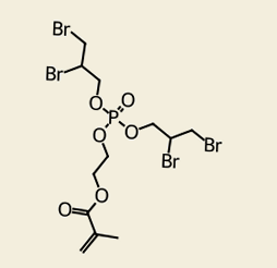 C=C(C)C(=O)OCCOP(=O)(OCC(Br)CBr)OCC(Br)CBr